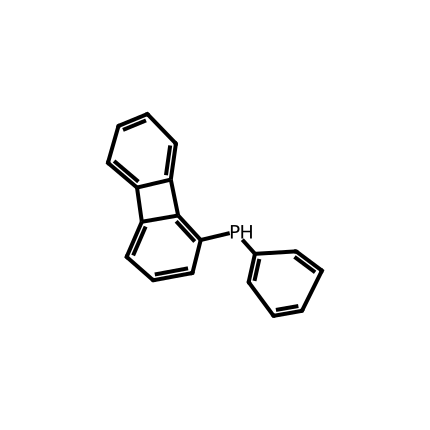 c1ccc(Pc2cccc3c2-c2ccccc2-3)cc1